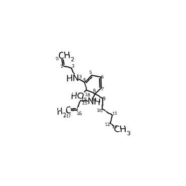 C=CCNC1=CC=CC(CCCCC)(NCC=C)C1O